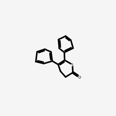 O=C1CCC(c2ccccc2)=C(c2ccccc2)S1